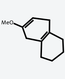 COC1=CCC2=C(CCCC2)C1